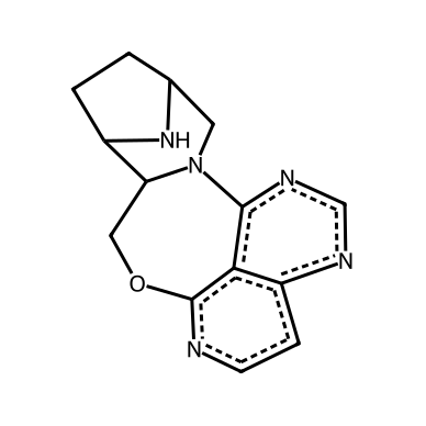 c1cc2ncnc3c2c(n1)OCC1C2CCC(CN31)N2